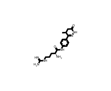 CC1CC(=O)NN=C1c1ccc(NC(=O)[C@H](N)CCCNC(=N)N)cc1